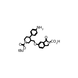 CC(C)(C)OC(=O)N1CCC(c2ccc(N)cc2)C(COc2ccc3c(c2)C(=O)N(C(=O)O)C3)C1